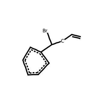 C=CCC(Br)c1ccccc1